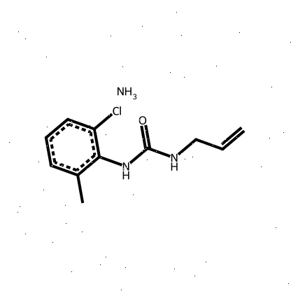 C=CCNC(=O)Nc1c(C)cccc1Cl.N